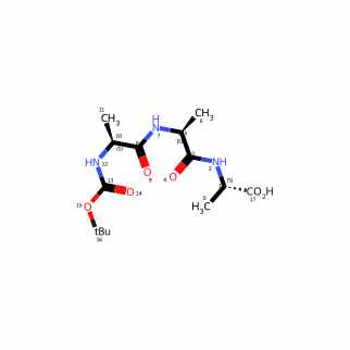 C[C@H](NC(=O)[C@H](C)NC(=O)[C@H](C)NC(=O)OC(C)(C)C)C(=O)O